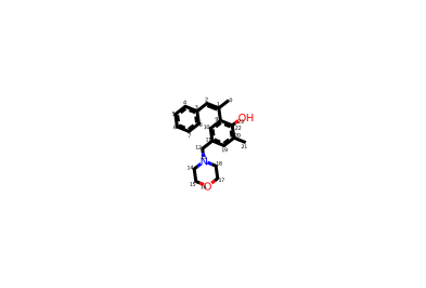 CC(=Cc1ccccc1)c1cc(CN2CCOCC2)cc(C)c1O